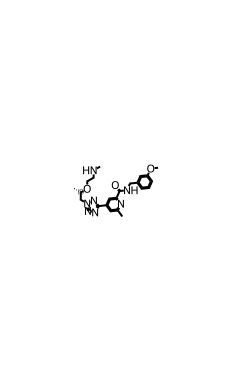 CNCCO[C@@H](C)Cn1nnc(-c2cc(C)nc(C(=O)NCc3cccc(OC)c3)c2)n1